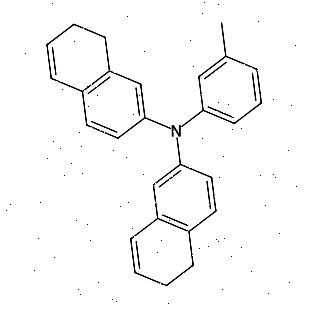 Cc1cccc(N(c2ccc3c(c2)C=CCC3)c2ccc3c(c2)CCC=C3)c1